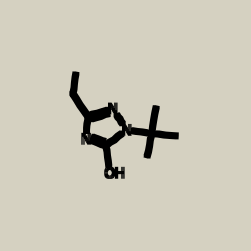 CCc1nc(O)n(C(C)(C)C)n1